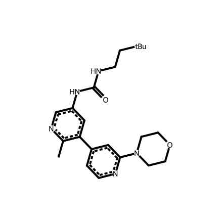 Cc1ncc(NC(=O)NCCC(C)(C)C)cc1-c1ccnc(N2CCOCC2)c1